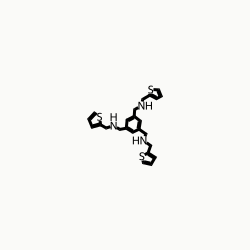 c1csc(CNCc2cc(CNCc3cccs3)cc(CNCc3cccs3)c2)c1